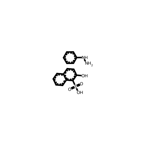 NNc1ccccc1.O=S(=O)(O)c1c(O)ccc2ccccc12